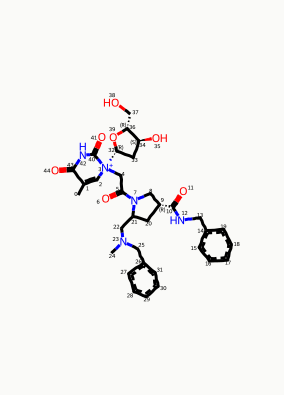 CC1=C[N+](CC(=O)N2C[C@H](C(=O)NCc3ccccc3)CC2CN(C)Cc2ccccc2)([C@H]2C[C@H](O)[C@@H](CO)O2)C(=O)NC1=O